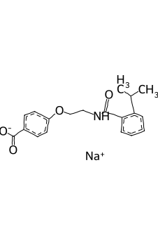 CC(C)c1ccccc1C(=O)NCCOc1ccc(C(=O)[O-])cc1.[Na+]